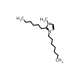 CCCCCCC[n+]1ccn(C)c1CCCCCC